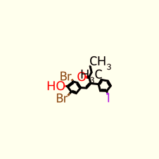 CCCC(=O)/C(=C\c1cc(Br)c(O)c(Br)c1)c1cc(I)ccc1C